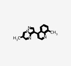 Cc1cnc2c(-c3ccnc4c(C)cccc34)cnn2c1